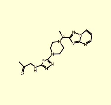 CC(=O)CNc1nnc(N2CCN([C@@H](C)c3nc4ncccn4n3)CC2)s1